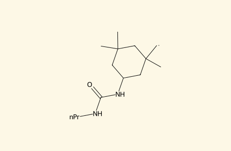 [CH2]C1(C)CC(NC(=O)NCCC)CC(C)(C)C1